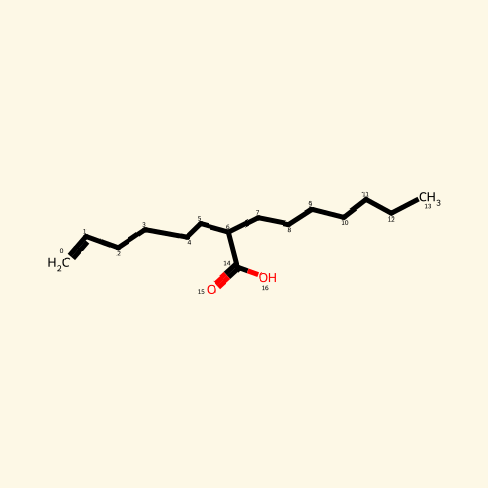 C=CCCCCC(CCCCCCC)C(=O)O